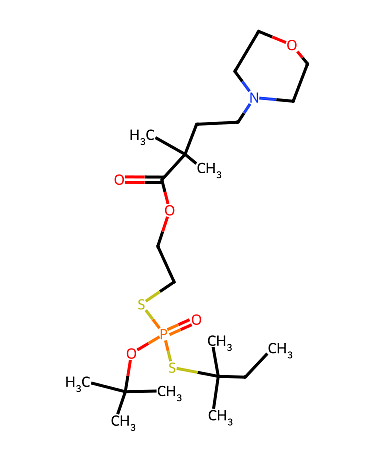 CCC(C)(C)SP(=O)(OC(C)(C)C)SCCOC(=O)C(C)(C)CCN1CCOCC1